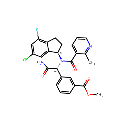 COC(=O)c1cccc([C@H](C(N)=O)N(C(=O)c2cccnc2C)[C@@H]2CCc3c(F)cc(Cl)cc32)c1